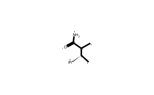 CC(C)[C@@H](C)C(C)C(N)=O